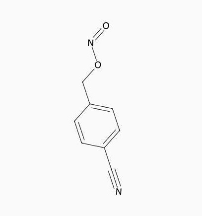 N#Cc1ccc(CON=O)cc1